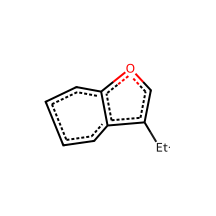 C[CH]c1coc2ccccc12